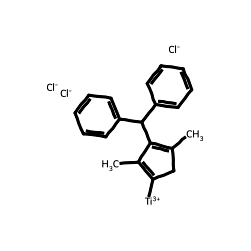 CC1=C(C(c2ccccc2)c2ccccc2)C(C)=[C]([Ti+3])C1.[Cl-].[Cl-].[Cl-]